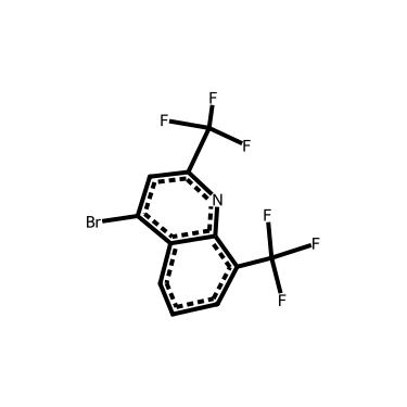 FC(F)(F)c1cc(Br)c2cccc(C(F)(F)F)c2n1